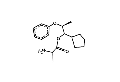 C[C@H](N)C(=O)OC(C1CCCC1)[C@H](C)Oc1ccccc1